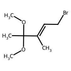 COC(C)(OC)C(C)=CCBr